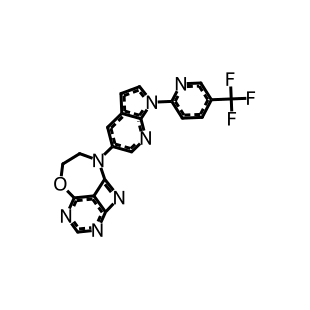 FC(F)(F)c1ccc(-n2ccc3cc(N4CCOc5ncnc6c5C4=N6)cnc32)nc1